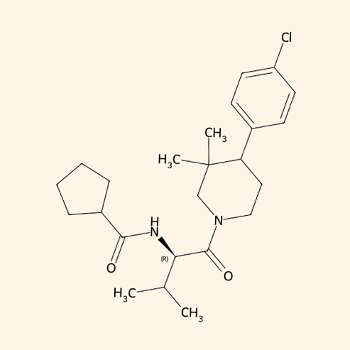 CC(C)[C@@H](NC(=O)C1CCCC1)C(=O)N1CCC(c2ccc(Cl)cc2)C(C)(C)C1